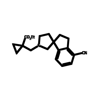 CCOC(=O)C1(CN2CCC3(CCc4c(C#N)cccc43)C2)CC1